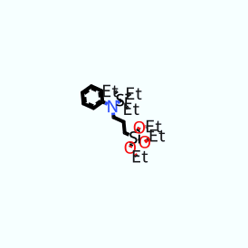 CCO[Si](CCCN(c1ccccc1)[Si](CC)(CC)CC)(OCC)OCC